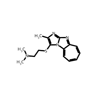 Cc1nc2nc3cccccc3n2c1SCCN(C)C